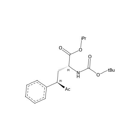 CC(=O)[C@H](C[C@@H](NC(=O)OC(C)(C)C)C(=O)OC(C)C)c1ccccc1